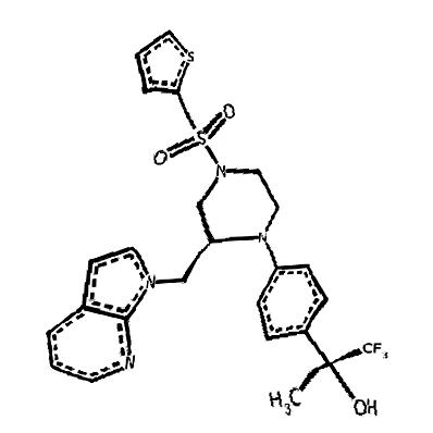 C[C@@](O)(c1ccc(N2CCN(S(=O)(=O)c3cccs3)C[C@@H]2Cn2ccc3cccnc32)cc1)C(F)(F)F